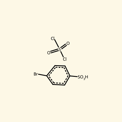 O=S(=O)(Cl)Cl.O=S(=O)(O)c1ccc(Br)cc1